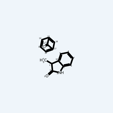 CC1C(=O)Nc2ccccc21.O=C1c2cccc1c2